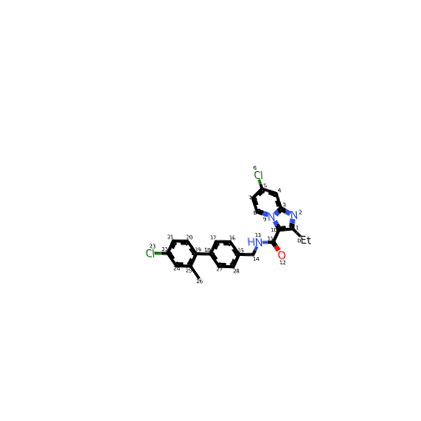 CCc1nc2cc(Cl)ccn2c1C(=O)NCc1ccc(-c2ccc(Cl)cc2C)cc1